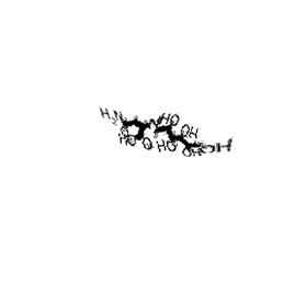 NC(=O)CC(/N=C/C(O)C(O)C(O)C(O)CO)C(=O)O